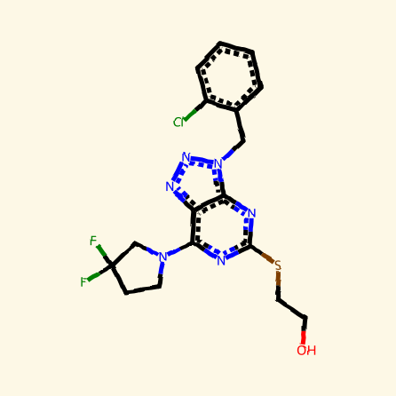 OCCSc1nc(N2CCC(F)(F)C2)c2nnn(Cc3ccccc3Cl)c2n1